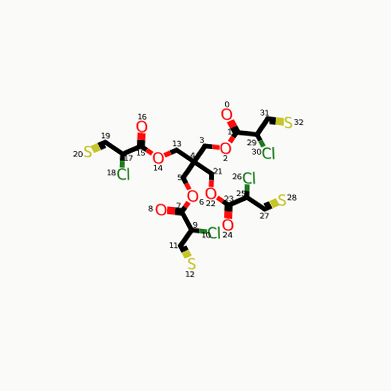 O=C(OCC(COC(=O)C(Cl)C=S)(COC(=O)C(Cl)C=S)COC(=O)C(Cl)C=S)C(Cl)C=S